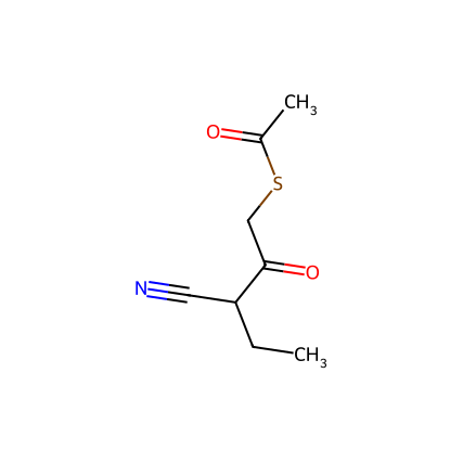 CCC(C#N)C(=O)CSC(C)=O